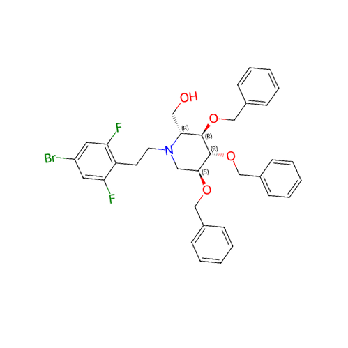 OC[C@@H]1[C@@H](OCc2ccccc2)[C@H](OCc2ccccc2)[C@@H](OCc2ccccc2)CN1CCc1c(F)cc(Br)cc1F